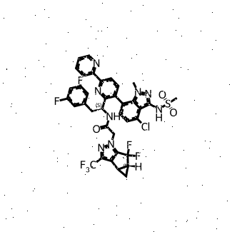 Cn1nc(NS(C)(=O)=O)c2c(Cl)ccc(-c3ccc(-c4ccccn4)nc3[C@H](Cc3cc(F)cc(F)c3)NC(=O)Cn3nc(C(F)(F)F)c4c3C(F)(F)[C@@H]3CC43)c21